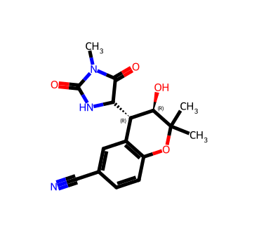 CN1C(=O)NC([C@H]2c3cc(C#N)ccc3OC(C)(C)[C@@H]2O)C1=O